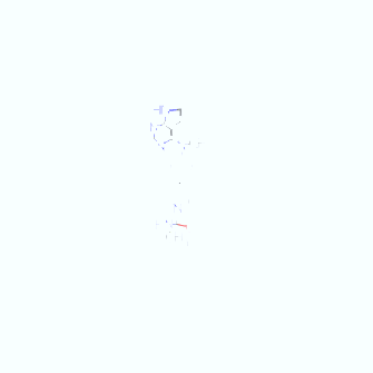 CNC(=O)N1CCC2(CCC(N(C)c3ncnc4[nH]ccc34)CC2)CC1